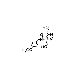 COc1ccc(CNC(=O)c2c(CCO)ncnc2CCO)cc1